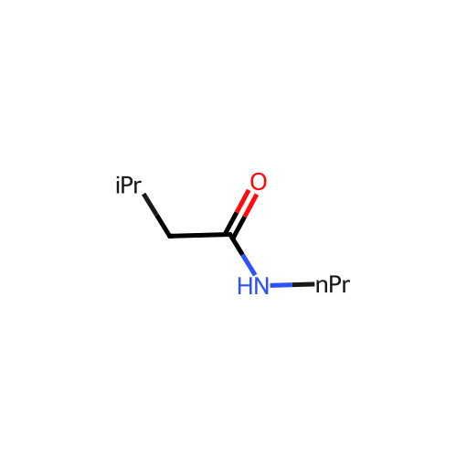 [CH2]CCNC(=O)CC(C)C